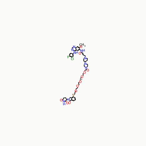 COc1cc2ncnc(Nc3ccc(F)c(Cl)c3)c2cc1NC(=O)/C=C/CN1CCC(N2CCN(C(=O)COCCOCCOCCOCCOCCSc3cccc4c3CN(C3CCC(=O)NC3=O)C4=O)CC2)CC1